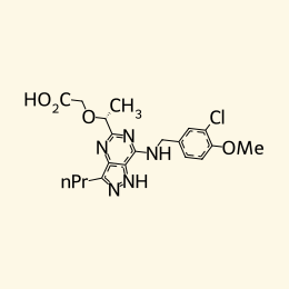 CCCc1n[nH]c2c(NCc3ccc(OC)c(Cl)c3)nc([C@@H](C)OCC(=O)O)nc12